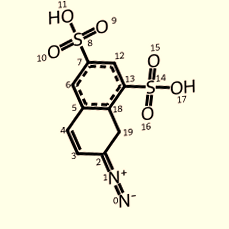 [N-]=[N+]=C1C=Cc2cc(S(=O)(=O)O)cc(S(=O)(=O)O)c2C1